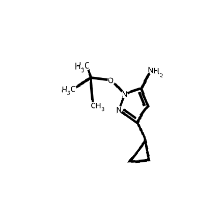 CC(C)(C)On1nc(C2CC2)cc1N